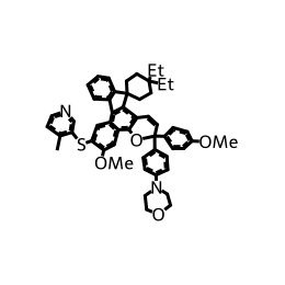 CCC1(CC)CCC2(CC1)c1ccccc1-c1c2c2c(c3cc(OC)c(Sc4cnccc4C)cc13)OC(c1ccc(OC)cc1)(c1ccc(N3CCOCC3)cc1)C=C2